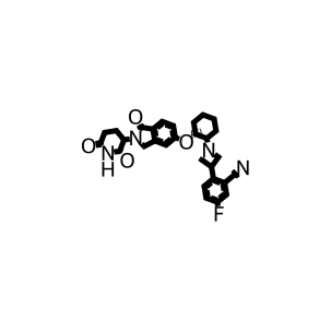 N#Cc1cc(F)ccc1C1CN(C2CCCC[C@@H]2Oc2ccc3c(c2)CN(C2CCC(=O)NC2=O)C3=O)C1